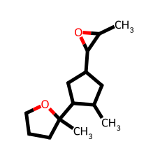 CC1CC(C2OC2C)CC1C1(C)CCCO1